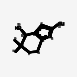 CC(C)(C)c1cc2c(o1)CCC(C)(C)C2O